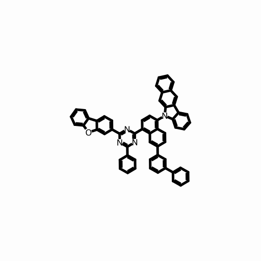 c1ccc(-c2cccc(-c3ccc4c(-n5c6ccccc6c6cc7ccccc7cc65)ccc(-c5nc(-c6ccccc6)nc(-c6ccc7c(c6)oc6ccccc67)n5)c4c3)c2)cc1